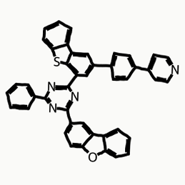 c1ccc(-c2nc(-c3ccc4oc5ccccc5c4c3)nc(-c3cc(-c4ccc(-c5ccncc5)cc4)cc4c3sc3ccccc34)n2)cc1